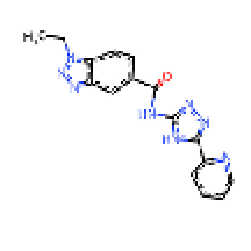 CCn1nnc2cc(C(=O)Nc3nnc(-c4ccccn4)[nH]3)ccc21